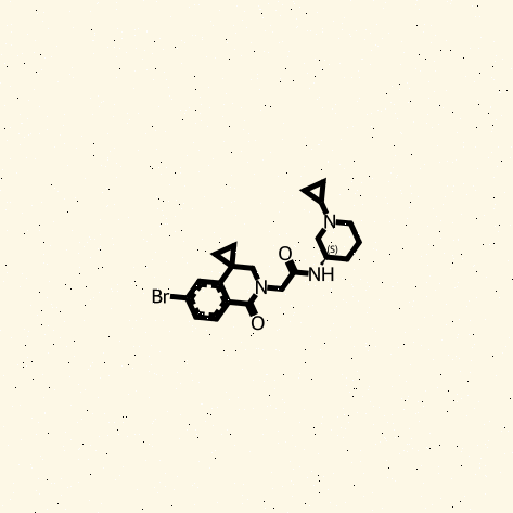 O=C(CN1CC2(CC2)c2cc(Br)ccc2C1=O)N[C@H]1CCCN(C2CC2)C1